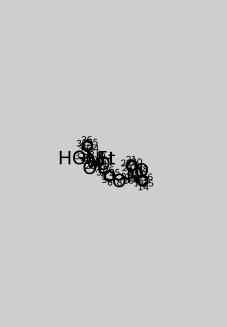 CCO[C@@H](Cc1ccc(OCCN2c3ccccc3Oc3ccccc32)cc1)C(=O)N[C@H](CO)c1ccccc1